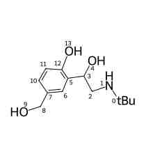 CC(C)(C)NCC(O)c1cc(CO)ccc1O